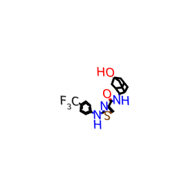 O=C(NC1C2CC3CC1CC(O)(C3)C2)c1csc(Nc2ccc(C(F)(F)F)cc2)n1